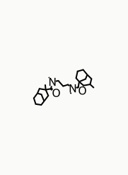 CC1CC2CCCC(C(=O)N(C)CCCN(C)C(=O)C3(C)CC4CCCC(C4)C3)(C1)C2